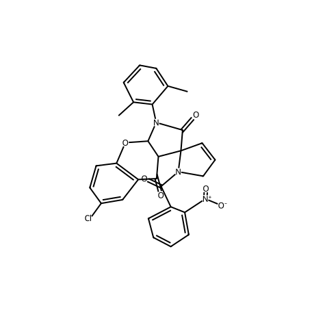 Cc1cccc(C)c1N1C(=O)C2(C=CCN2C(=O)c2ccccc2[N+](=O)[O-])C2C(=O)c3cc(Cl)ccc3OC21